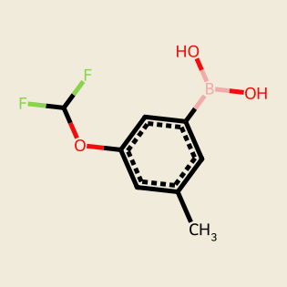 Cc1cc(OC(F)F)cc(B(O)O)c1